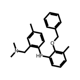 Cc1ccc(Pc2cccc(C)c2OCc2ccccc2)c(CN(C)C)c1